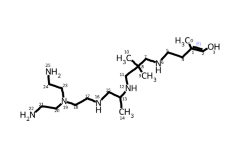 C/C(=C\O)CCNCC(C)(C)CNC(C)CNCCN(CCN)CCN